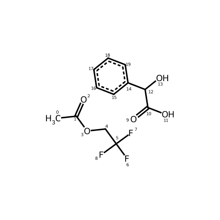 CC(=O)OCC(F)(F)F.O=C(O)C(O)c1ccccc1